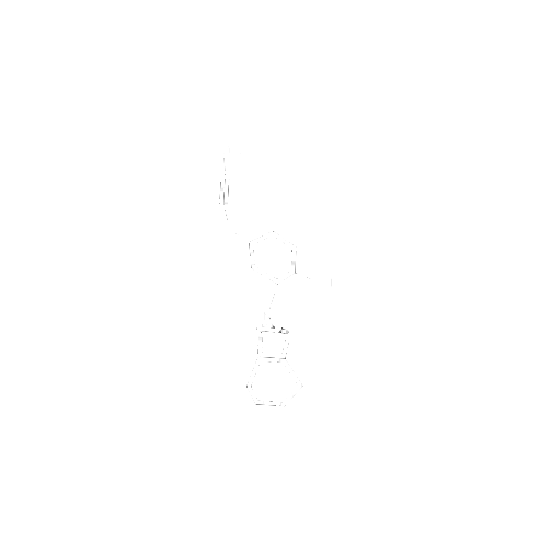 CC#COc1ccc(O)c(-n2n3c4ccccc4n23)c1